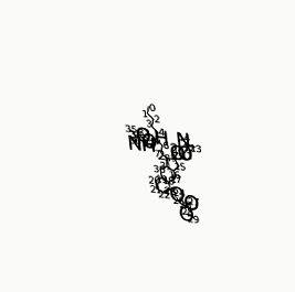 CCCCCC(CCC1C(OOC(C)N)CC2Cc3c(cccc3OCC(=O)OC)CC21)OOC(C)N